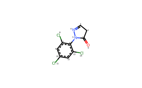 O=C1CC=NN1c1c(Cl)cc(Cl)cc1Cl